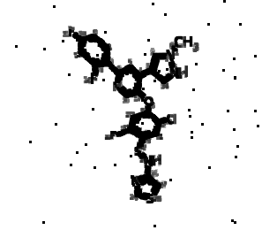 CN1C=C(c2cc(-c3ccc(F)cc3F)ncc2Oc2cc(F)c(SNc3cscn3)cc2Cl)CN1